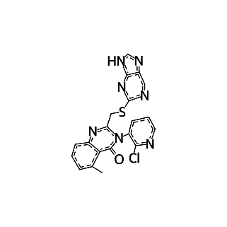 Cc1cccc2nc(CSc3ncc4nc[nH]c4n3)n(-c3cccnc3Cl)c(=O)c12